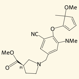 CNc1cc(CN2CC[C@@H](C(=O)OC)C2)cc(C#N)c1OC1=CC=CC1(C)OC